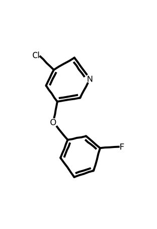 Fc1cccc(Oc2cncc(Cl)c2)c1